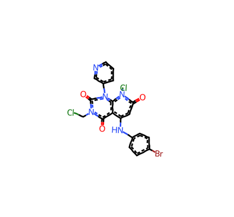 O=c1c2c(Nc3ccc(Br)cc3)cc(=O)n(Cl)c2n(-c2cccnc2)c(=O)n1CCl